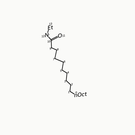 CCCCCCCCCCCCCCCCCC(=O)[N]CC